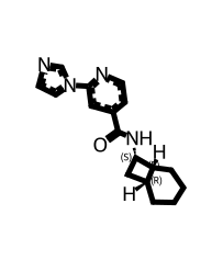 O=C(N[C@H]1C[C@H]2CCCC[C@H]21)c1ccnc(-n2ccnc2)c1